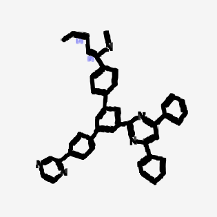 C=N/C(=C\C=C/C)c1ccc(-c2cc(-c3ccc(-c4cnccn4)cc3)cc(-c3nc(-c4ccccc4)cc(-c4ccccc4)n3)c2)cc1